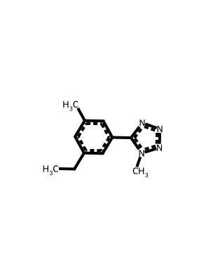 CCc1cc(C)cc(-c2nnnn2C)c1